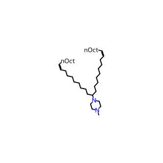 CCCCCCCC/C=C\CCCCCCCCC(CCCCCCCC/C=C\CCCCCCCC)N1CCN(C)CC1